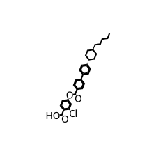 CCCCC[C@H]1CC[C@H](c2ccc(-c3ccc(C(=O)Oc4ccc(C(=O)O)c(Cl)c4)cc3)cc2)CC1